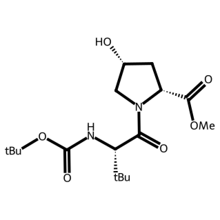 COC(=O)[C@H]1C[C@@H](O)CN1C(=O)[C@@H](NC(=O)OC(C)(C)C)C(C)(C)C